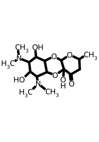 CC1CC(=O)C2(O)OC3C(OC2O1)C(O)C(N(C)C)C(O)C3N(C)C